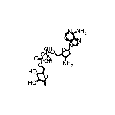 CC1OC(COP(=O)(O)OP(=O)(O)OCC2OC(n3cnc4c(N)ncnc43)CC2N)C(O)C1O